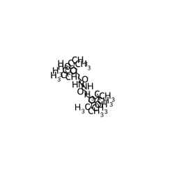 CC(C)(C)c1cc(C=CC(=O)NNC(=O)C=Cc2cc(C(C)(C)C)c(O)c(C(C)(C)C)c2)cc(C(C)(C)C)c1O